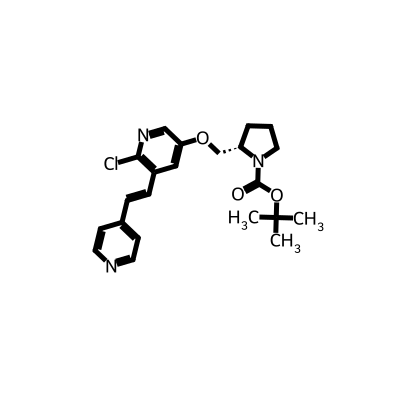 CC(C)(C)OC(=O)N1CCC[C@H]1COc1cnc(Cl)c(/C=C/c2ccncc2)c1